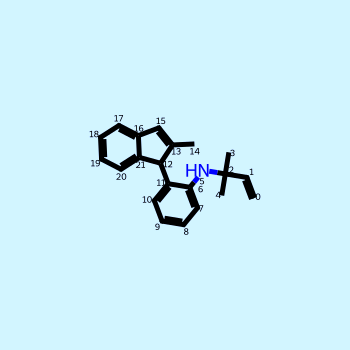 C=CC(C)(C)Nc1ccccc1C1C(C)=Cc2ccccc21